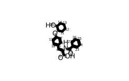 O=C(O)/C(=C/c1ccc(OC2CCCCC2O)cc1)NC(=O)c1ccccc1